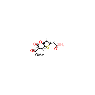 BC(=O)Cc1cc2oc(=O)c(C(=O)OC)cc2s1